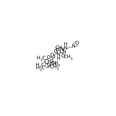 COc1nc(NCCCN2CCOCC2)nc(OC)c1NC(=O)c1ccc(Oc2c(C)cc3c(c2OC)[Si](C)(C)CCC3(C)C)o1